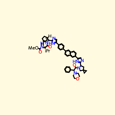 COC(=O)N[C@H](C(=O)N1C(c2ncc(-c3ccc(-c4ccc5cc(-c6cnc(C7CC8(CC8)CN7C(=O)C(c7ccccc7)N7CCOCC7)[nH]6)ccc5c4)cc3)[nH]2)[C@H]2CC[C@@H]1C2)C(C)C